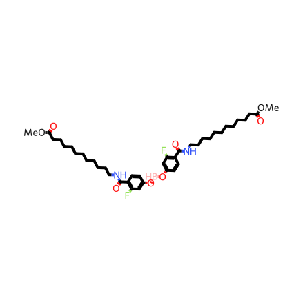 COC(=O)CCCCCCCCCCCNC(=O)c1ccc(OBOc2ccc(C(=O)NCCCCCCCCCCCC(=O)OC)c(F)c2)cc1F